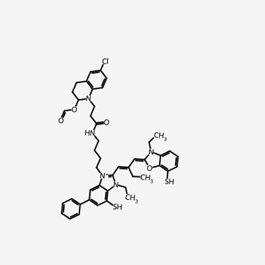 CCC(/C=C1\Oc2c(S)cccc2N1CC)=C\c1n(CC)c2c(S)cc(-c3ccccc3)cc2[n+]1CCCCNC(=O)CCN1c2ccc(Cl)cc2CCC1OC=O